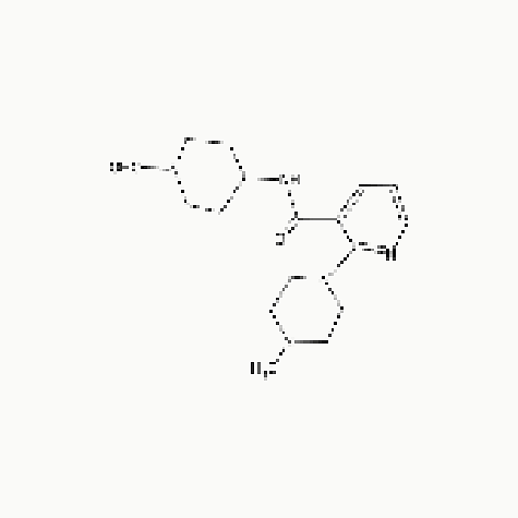 CN1CCN(c2ncccc2C(=O)NC2CCN(C=O)CC2)CC1